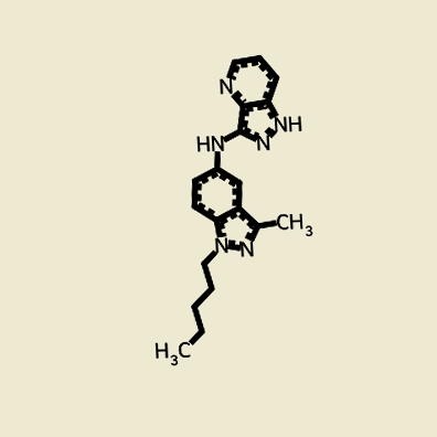 CCCCCn1nc(C)c2cc(Nc3n[nH]c4cccnc34)ccc21